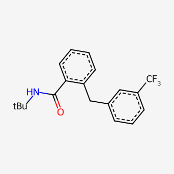 CC(C)(C)NC(=O)c1ccccc1Cc1cccc(C(F)(F)F)c1